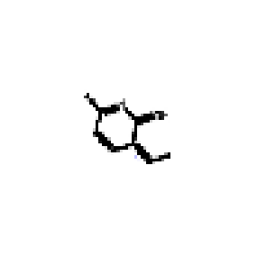 C/C=C1/C=CC(C)=NC1=N